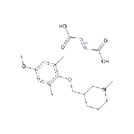 COc1cc(C)c(OCC2CCCN(C)C2)c(C)c1.O=C(O)/C=C/C(=O)O